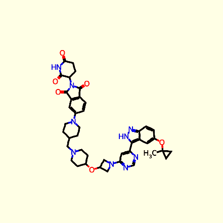 CC1(Oc2ccc3n[nH]c(-c4cc(N5CC(OC6CCN(CC7CCN(c8ccc9c(c8)C(=O)N(C8CCC(=O)NC8=O)C9=O)CC7)CC6)C5)ncn4)c3c2)CC1